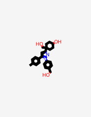 Cc1ccc(-c2cc(C3(CO)CCC(O)CC3)nn2-c2ccc(CO)cc2)cc1